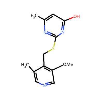 COc1cncc(C)c1CSc1nc(O)cc(C(F)(F)F)n1